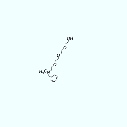 CN(CCOCCOCCOCCO)Cc1ccccc1